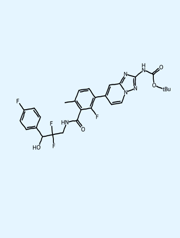 Cc1ccc(-c2ccn3nc(NC(=O)OC(C)(C)C)nc3c2)c(F)c1C(=O)NCC(F)(F)C(O)c1ccc(F)cc1